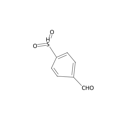 O=Cc1ccc([SH](=O)=O)cc1